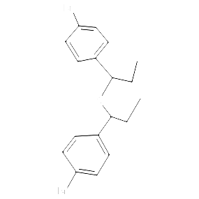 CCC(SC(CC)c1ccc(Br)cc1)c1ccc(Br)cc1